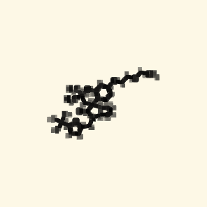 CCOCCOc1ccc2c(c1)OC(C)(C)CC21C(=O)N(Cc2ccc(C(F)(F)F)o2)c2ccccc21